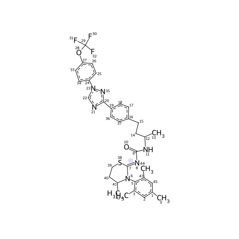 Cc1cc(C)c(N2/C(=N/C(=O)NC(C)CCc3ccc(-c4ncn(-c5ccc(OC(F)(F)F)cc5)n4)cc3)SCCC2C)c(C)c1